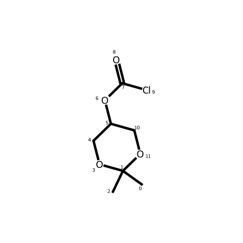 CC1(C)OCC(OC(=O)Cl)CO1